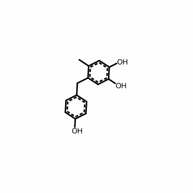 Cc1cc(O)c(O)cc1Cc1ccc(O)cc1